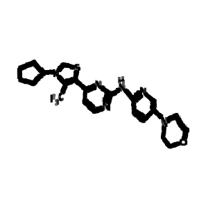 FC(F)(F)C1=C(c2ccnc(Nc3ccc(N4CCOCC4)cn3)n2)SCN1C1CCCC1